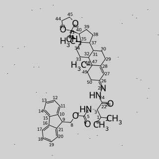 CC(C)[C@H](NC(=O)OCC1c2ccccc2-c2ccccc21)C(=O)N/N=C1/C=C2CCC3C(CC[C@@]4(C)C3CC[C@@H]4C3(C)OCCO3)[C@@]2(C)CC1